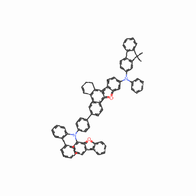 CC1(C)c2ccccc2-c2ccc(N(c3ccccc3)c3ccc4c(c3)oc3c5ccc(-c6ccc(N(c7ccccc7-c7ccccc7)c7cccc8c7oc7ccccc78)cc6)cc5c5c(c43)CCC=C5)cc21